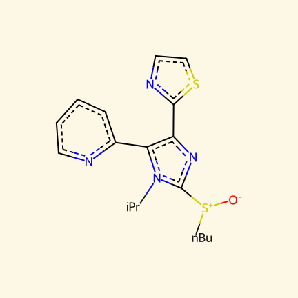 CCCC[S+]([O-])c1nc(-c2nccs2)c(-c2ccccn2)n1C(C)C